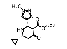 Cn1cc([C@H]2N[C@@H](C3CC3)CC(=O)[C@@H]2C(=O)OC(C)(C)C)nn1